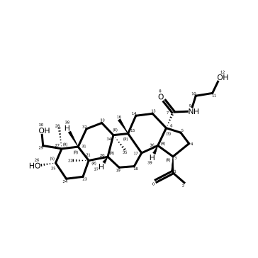 C=C(C)[C@@H]1CC[C@]2(C(=O)NCCO)CC[C@]3(C)C(CC[C@@H]4[C@@]5(C)CC[C@H](O)[C@@](C)(CO)[C@@H]5CC[C@]43C)[C@@H]12